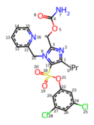 CC(C)c1nc(COC(N)=O)n(Cc2ccccn2)c1S(=O)(=O)Oc1cc(Cl)cc(Cl)c1